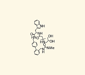 CNC(=O)NCc1ccccc1-c1ccc(CNC(=O)[C@@H](Cc2c[nH]c3ccccc23)NC(=O)CC(C)(C)NC[C@H](O)CO)cc1